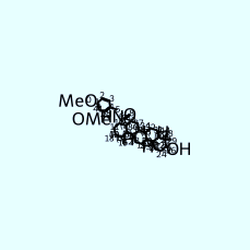 COc1ccc(CNC(=O)[C@]23CC[C@@H](C)[C@H](C)[C@H]2C2=CC[C@@H]4[C@@]5(C)CC[C@H](O)C(C)(C)[C@@H]5CC[C@@]4(C)[C@]2(C)CC3)c(OC)c1